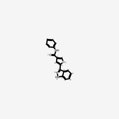 O=C(Nc1ccccc1)c1coc(-c2n[nH]c3ccccc23)c1